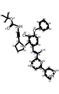 CC(C)(C)OC(=O)NC#CC1CCCN1c1c(/C=C(\F)c2cncc(-c3ccnnc3)n2)ccc(Oc2ccccc2)c1Cl